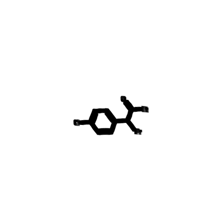 CCC(=O)C(c1ccc(Cl)cc1)C(C)C